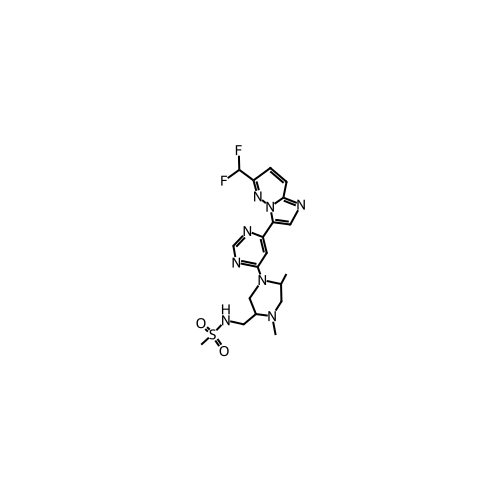 CC1CN(C)C(CNS(C)(=O)=O)CN1c1cc(-c2cnc3ccc(C(F)F)nn23)ncn1